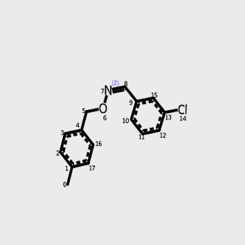 Cc1ccc(CO/N=[C]\c2cccc(Cl)c2)cc1